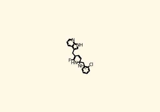 NC1(Cc2ccccc2Cl)C=CC(Cc2c[nH]c3ncccc23)=C(F)N1